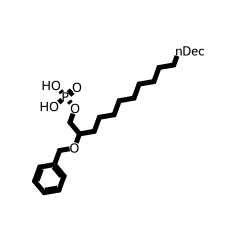 CCCCCCCCCCCCCCCCCCCC(COP(=O)(O)O)OCc1ccccc1